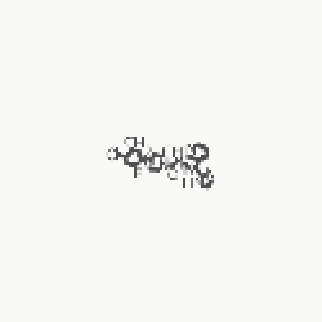 Cc1cc(N2CCN(C(=O)Cn3nc(-c4ncc[nH]4)c4cccnc43)[C@@H](C)C2)c(F)cc1Cl